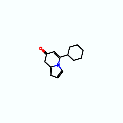 O=C1C=C(C2CCCCC2)n2cccc2C1